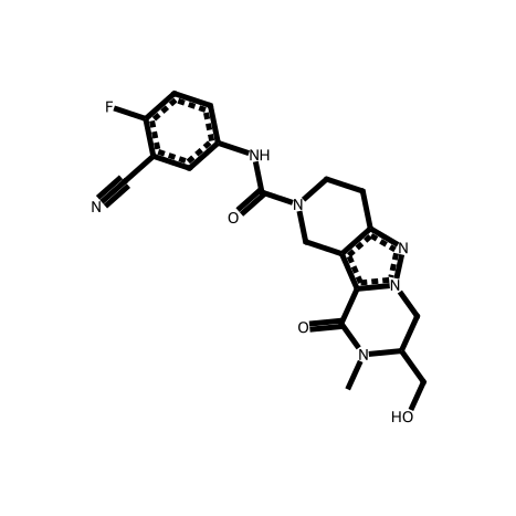 CN1C(=O)c2c3c(nn2CC1CO)CCN(C(=O)Nc1ccc(F)c(C#N)c1)C3